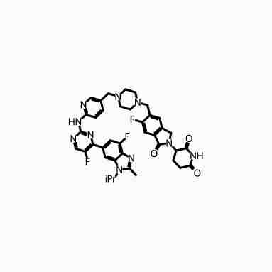 Cc1nc2c(F)cc(-c3nc(Nc4ccc(CN5CCN(Cc6cc7c(cc6F)C(=O)N(C6CCC(=O)NC6=O)C7)CC5)cn4)ncc3F)cc2n1C(C)C